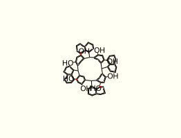 Oc1cc(O)c2cc1C(c1cccc3ccccc13)c1cc(c(O)cc1O)C(c1cccc3ccccc13)c1cc(c(O)cc1O)C(c1cccc3ccccc13)c1cc(c(O)cc1O)C2c1cccc2ccccc12